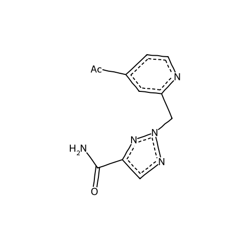 CC(=O)c1ccnc(Cn2ncc(C(N)=O)n2)c1